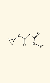 CC(C)OC(=O)CC(=O)OC1CC1